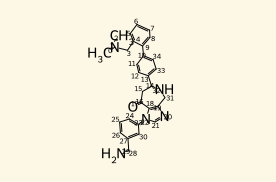 CN(C)Cc1ccccc1-c1ccc(C2CC(=O)c3c(ncn3-c3cccc(CN)c3)CN2)cc1